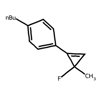 CCCCc1ccc(C2=CC2(C)F)cc1